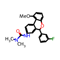 COc1cccc2c1-c1ccc(NC(=O)N(C)C)cc1C(c1cccc(F)c1)O2